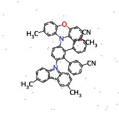 Cc1ccc2c(c1)N(c1ccc(-n3c4ccc(C)cc4c4cc(C)ccc43)c(-c3cccc(C#N)c3)c1-c1cccc(C#N)c1)c1cc(C)ccc1O2